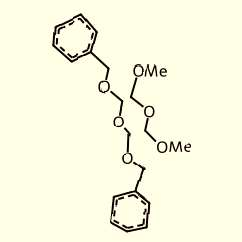 COCOCOC.c1ccc(COCOCOCc2ccccc2)cc1